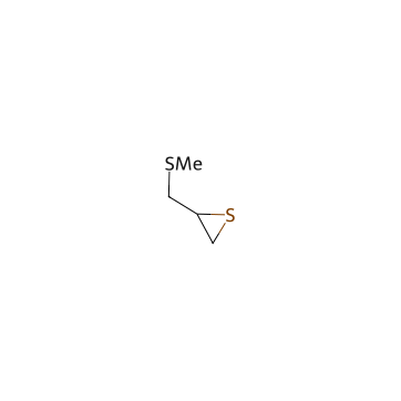 CSCC1CS1